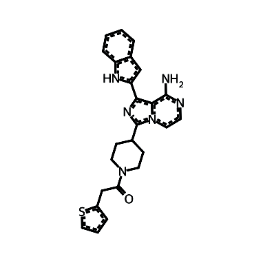 Nc1nccn2c(C3CCN(C(=O)Cc4cccs4)CC3)nc(-c3cc4ccccc4[nH]3)c12